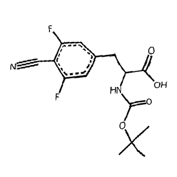 CC(C)(C)OC(=O)NC(Cc1cc(F)c(C#N)c(F)c1)C(=O)O